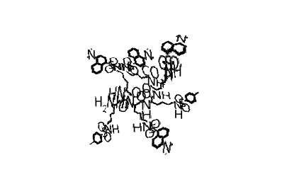 Cc1ccc(S(=O)(=O)NCCCCC(N)C(=O)NC(CCCCNS(=O)(=O)c2ccc(N(C)C)c3ccccc23)C(=O)NC(CCCCNS(=O)(=O)c2cccc3c(N(C)C)cccc23)C(=O)NC(CCCCNS(=O)(=O)c2ccc(C)cc2)C(=O)NC(CCCCNS(=O)(=O)c2cccc3c(N(C)C)cccc23)C(=O)NC(CCCCNS(=O)(=O)c2ccc(N(C)C)c3ccccc23)C(=O)O)cc1